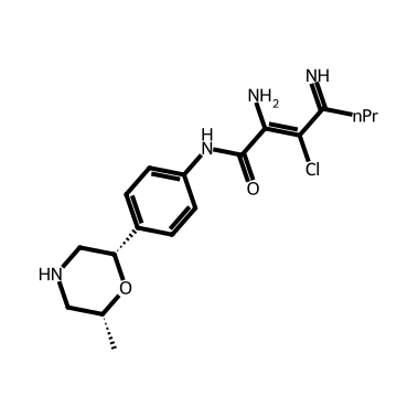 CCCC(=N)/C(Cl)=C(\N)C(=O)Nc1ccc([C@H]2CNC[C@@H](C)O2)cc1